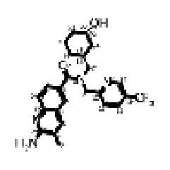 Cc1cc2cc(C(=O)N(Cc3ccc(C(F)(F)F)cn3)C[C@H]3CCC[C@H](O)C3)ccc2nc1N